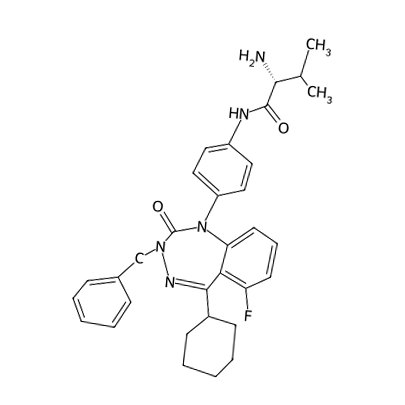 CC(C)[C@@H](N)C(=O)Nc1ccc(N2C(=O)N(Cc3ccccc3)N=C(C3CCCCC3)c3c(F)cccc32)cc1